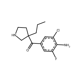 CCCC1(C(=O)c2cc(F)c(N)c(Cl)c2)CCNC1